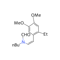 CCCCN(C=O)/C=C\c1cc(OC)c(OC)cc1CC